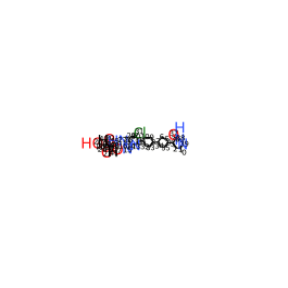 Cc1cc(-c2ccc(-c3ccc(-c4nc5nc(O[C@@H]6CO[C@H]7[C@@H]6OC[C@H]7O)[nH]c5cc4Cl)cc3)cc2)c(=O)[nH]n1